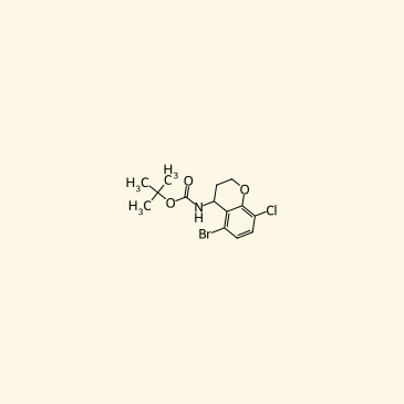 CC(C)(C)OC(=O)NC1CCOc2c(Cl)ccc(Br)c21